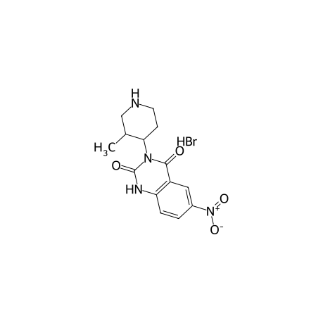 Br.CC1CNCCC1n1c(=O)[nH]c2ccc([N+](=O)[O-])cc2c1=O